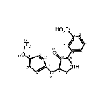 O=C(O)c1cccc(C2NCC(Oc3ccc(OC(F)(F)F)cc3)C2=O)c1